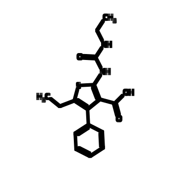 CCNC(=O)Nc1sc(CC)c(-c2ccccc2)c1C(=O)O